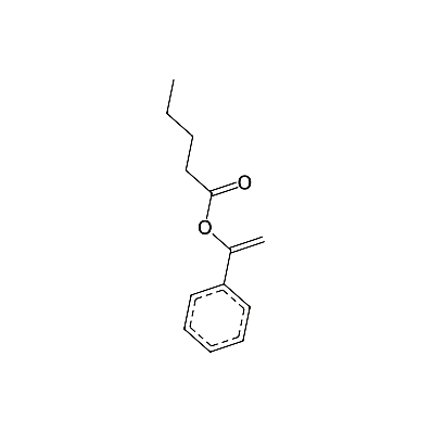 C=C(OC(=O)CCCC)c1ccccc1